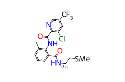 CSC[C@H](C)NC(=O)c1cccc(C)c1NC(=O)c1ncc(C(F)(F)F)cc1Cl